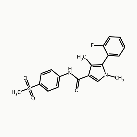 Cc1c(C(=O)Nc2ccc(S(C)(=O)=O)cc2)cn(C)c1-c1ccccc1F